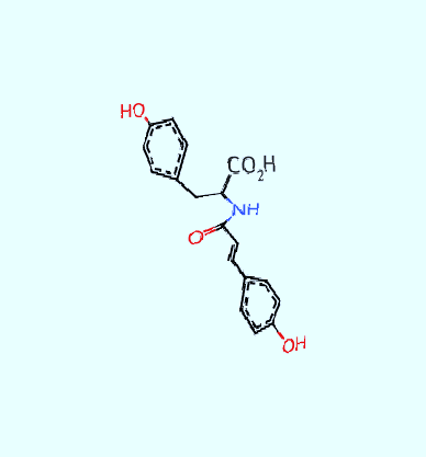 O=C(C=Cc1ccc(O)cc1)NC(Cc1ccc(O)cc1)C(=O)O